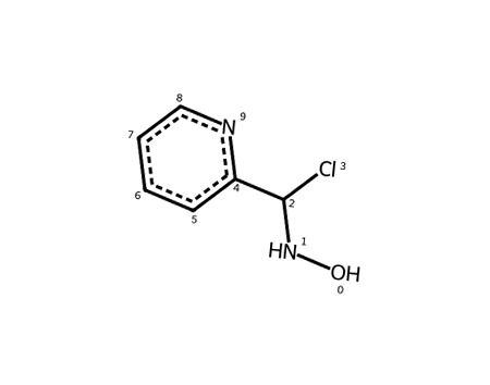 ONC(Cl)c1ccccn1